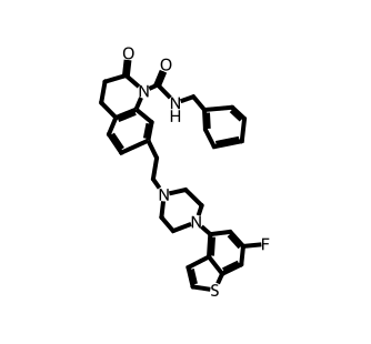 O=C1CCc2ccc(CCN3CCN(c4cc(F)cc5sccc45)CC3)cc2N1C(=O)NCc1ccccc1